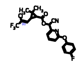 CC1(C)C(/C=C(\Cl)C(F)(F)F)C1C(=O)OC(C#N)c1cccc(Oc2ccc(F)cc2)n1